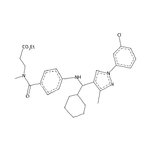 CCOC(=O)CCN(C)C(=O)c1ccc(NC(c2cn(-c3cccc(Cl)c3)nc2C)C2CCCCC2)cc1